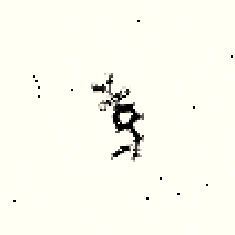 [CH2]N(CC)Cc1ccc(S(=O)(=O)N(C)C)cc1